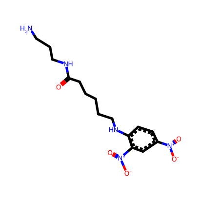 NCCCNC(=O)CCCCCNc1ccc([N+](=O)[O-])cc1[N+](=O)[O-]